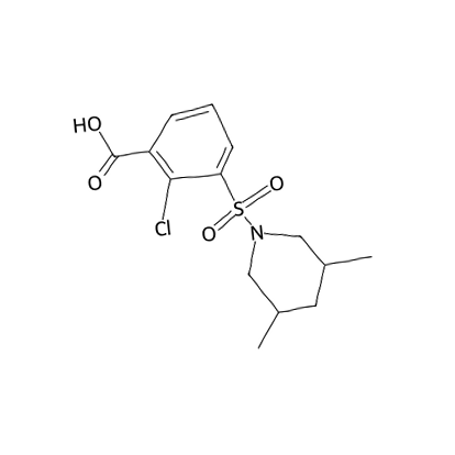 CC1CC(C)CN(S(=O)(=O)c2cccc(C(=O)O)c2Cl)C1